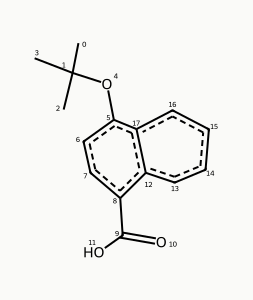 CC(C)(C)Oc1ccc(C(=O)O)c2ccccc12